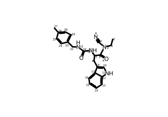 CCN(C#N)C(=O)C(Cc1c[nH]c2ccccc12)NC(=O)NCc1ccc(C)cc1